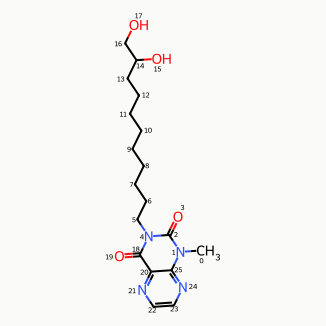 Cn1c(=O)n(CCCCCCCCCC(O)CO)c(=O)c2nccnc21